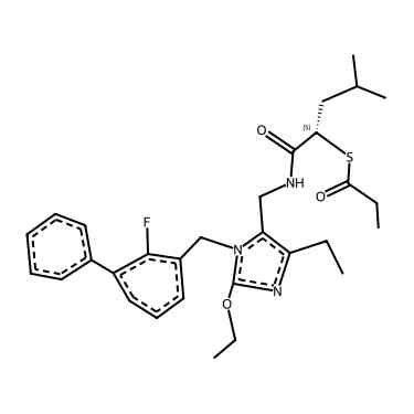 CCOc1nc(CC)c(CNC(=O)[C@H](CC(C)C)SC(=O)CC)n1Cc1cccc(-c2ccccc2)c1F